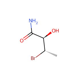 C[C@H](Br)[C@H](O)C(N)=O